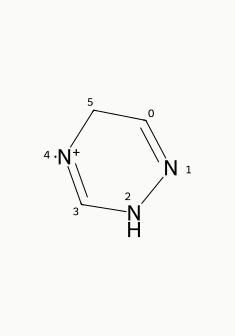 C1=NNC=[N+]C1